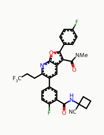 CNC(=O)c1c(-c2ccc(F)cc2)oc2nc(CCC(F)(F)F)c(-c3ccc(F)c(C(=O)NC4(C#N)CCC4)c3)cc12